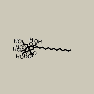 CCCCCCCCCCCCCCCC(CC(O)CO)(CC(O)CO)C(CC(O)CO)(CC(O)CO)C(=O)O